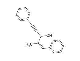 CC(=Cc1ccccc1)C(O)C#Cc1ccccc1